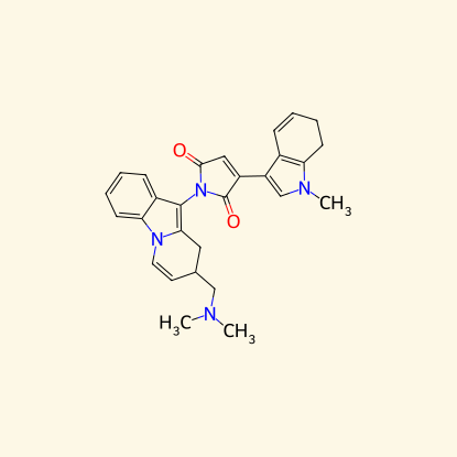 CN(C)CC1C=Cn2c(c(N3C(=O)C=C(c4cn(C)c5c4C=CCC5)C3=O)c3ccccc32)C1